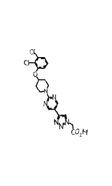 O=C(O)Cn1cc(-c2cnc(N3CCC(Oc4cccc(Cl)c4Cl)CC3)nc2)nn1